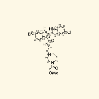 COCC(=O)N1CCCN(CCNC(=O)c2c(-c3cc4cc(Cl)ccc4[nH]3)[nH]c3cc(Br)ccc23)CC1